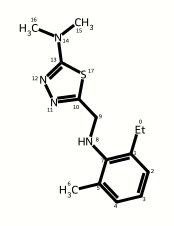 CCc1cccc(C)c1NCc1nnc(N(C)C)s1